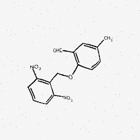 [CH2]c1ccc(OCc2c([N+](=O)[O-])cccc2[N+](=O)[O-])c(C=O)c1